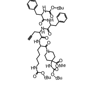 C#CCC(NC(=O)C(Cc1ccccc1)NC(=O)C(Cc1ccccc1)NC(=O)OC(C)(C)C)C(=O)NC(CCCCNC(=O)OC(C)(C)C)C(=O)N1CCC(NC(=O)OC(C)(C)C)(C(=O)OC)CC1